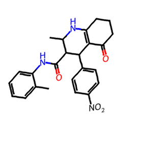 Cc1ccccc1NC(=O)C1C(C)NC2=C(C(=O)CCC2)C1c1ccc([N+](=O)[O-])cc1